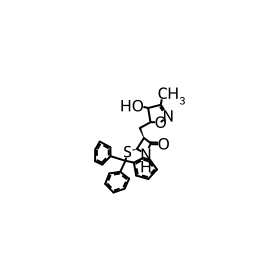 CC1=NOC(C[C@H]2C(=O)N[C@@H]2SC(c2ccccc2)(c2ccccc2)c2ccccc2)C1O